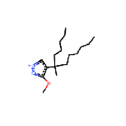 CCCCCCC(C)(CCCCC)c1c[nH]nc1OC